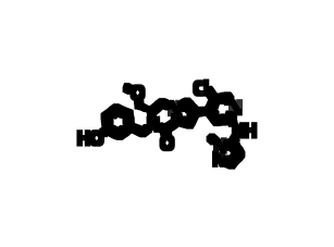 COC[C@H]1Cn2cc(-c3cc(Nc4ccnn4C)ncc3Cl)cc2C(=O)N1Cc1cccc(O)c1